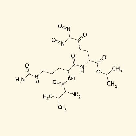 CC(C)OC(=O)C(CCC(=O)C(N=O)N=O)NC(=O)C(CCCNC(N)=O)NC(=O)C(N)C(C)C